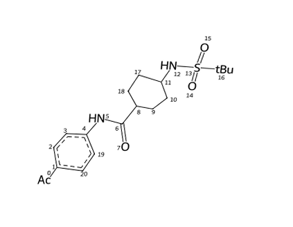 CC(=O)c1ccc(NC(=O)C2CCC(NS(=O)(=O)C(C)(C)C)CC2)cc1